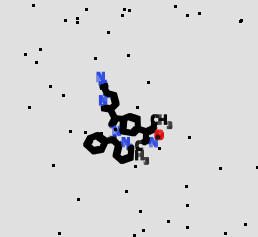 Cc1noc(C)c1-c1ccc2c(-c3ccc(C#N)nc3)cn([C@H](c3ccccc3)c3ccccn3)c2c1